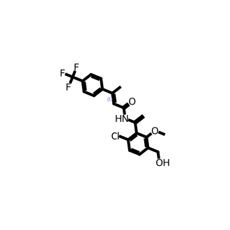 C=C(NC(=O)/C=C(\C)c1ccc(C(F)(F)F)cc1)c1c(Cl)ccc(CO)c1OC